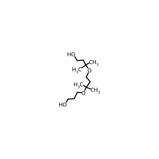 CC(C)(CCO)OCCC(C)(C)OCCCO